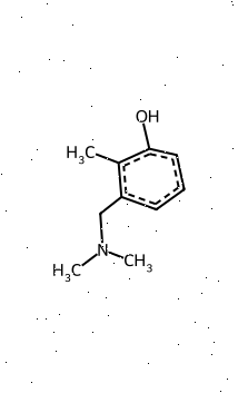 Cc1c(O)cccc1CN(C)C